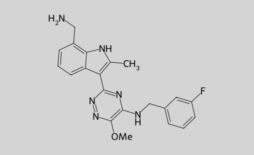 COc1nnc(-c2c(C)[nH]c3c(CN)cccc23)nc1NCc1cccc(F)c1